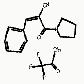 N#CC(=Cc1ccccc1)C(=O)N1CCCC1.O=C(O)C(F)(F)F